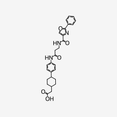 O=C(O)CC1CCC(c2ccc(NC(=O)CCNC(=O)c3coc(-c4ccccc4)n3)cc2)CC1